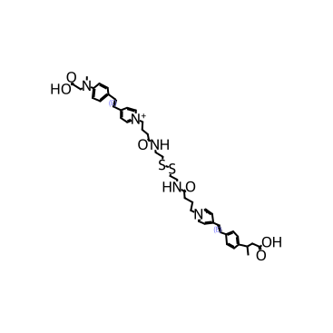 CC(CC(=O)O)c1ccc(/C=C/c2cc[n+](CCCC(=O)NCCSSCCNC(=O)CCC[n+]3ccc(/C=C/c4ccc(N(C)CC(=O)O)cc4)cc3)cc2)cc1